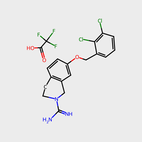 N=C(N)N1CCc2ccc(OCc3cccc(Cl)c3Cl)cc2C1.O=C(O)C(F)(F)F